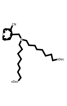 CCCCCCCCCCCCCCCCCCN(CCCCCCCCCCCCCCCCCC)Cc1ccccc1C#N